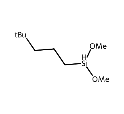 CO[SiH](CCCC(C)(C)C)OC